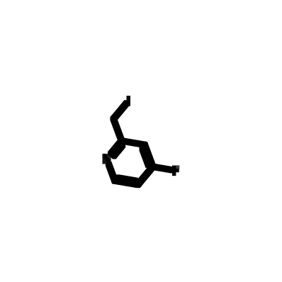 Fc1ccnc(CI)c1